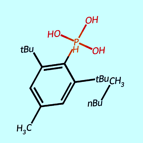 CCCCC.Cc1cc(C(C)(C)C)c([PH](O)(O)O)c(C(C)(C)C)c1